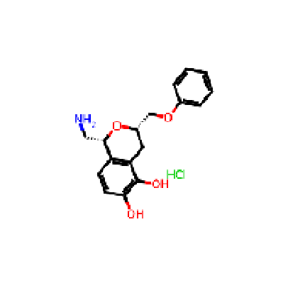 Cl.NC[C@@H]1O[C@H](COc2ccccc2)Cc2c1ccc(O)c2O